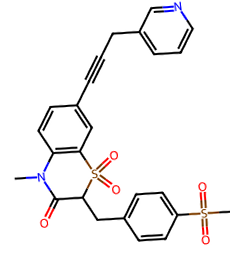 CN1C(=O)C(Cc2ccc(S(C)(=O)=O)cc2)S(=O)(=O)c2cc(C#CCc3cccnc3)ccc21